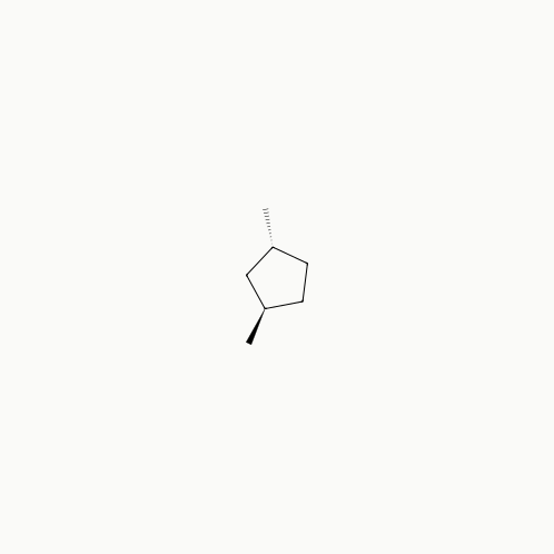 C[C@@H]1CC[C@@H](C)C1